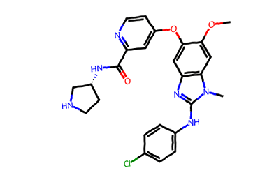 COc1cc2c(cc1Oc1ccnc(C(=O)N[C@@H]3CCNC3)c1)nc(Nc1ccc(Cl)cc1)n2C